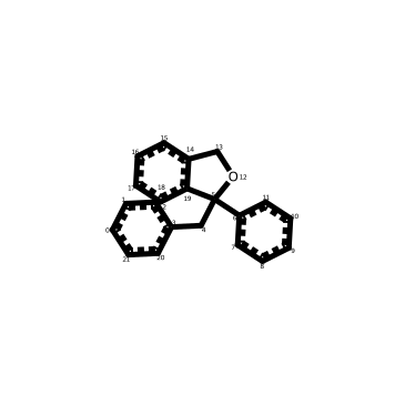 c1ccc(CC2(c3ccccc3)OCc3ccccc32)cc1